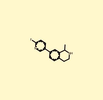 CC1NCCc2ccc(-c3ccc(F)nc3)cc21